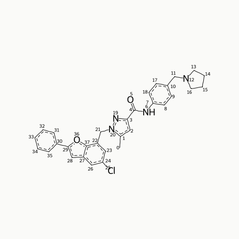 Cc1cc(C(=O)Nc2ccc(CN3CCCC3)cc2)nn1Cc1cc(Cl)cc2cc(-c3ccccc3)oc12